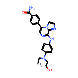 CCN(CCO)c1ccc(Nc2ncc(-c3ccc(C(N)=O)cc3)n3ccnc23)cc1